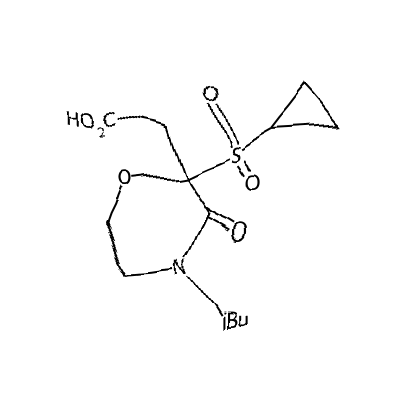 CCC(C)N1CCOC(CC(=O)O)(S(=O)(=O)C2CC2)C1=O